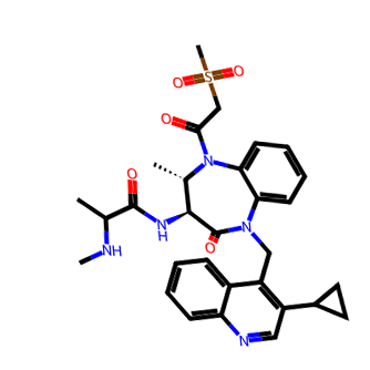 CNC(C)C(=O)N[C@@H]1C(=O)N(Cc2c(C3CC3)cnc3ccccc23)c2ccccc2N(C(=O)CS(C)(=O)=O)[C@H]1C